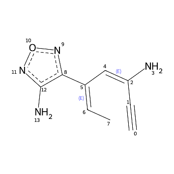 C#C/C(N)=C\C(=C/C)c1nonc1N